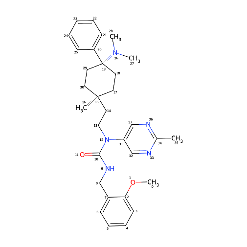 COc1ccccc1CNC(=O)N(CC[C@]1(C)CC[C@@](c2ccccc2)(N(C)C)CC1)c1cnc(C)nc1